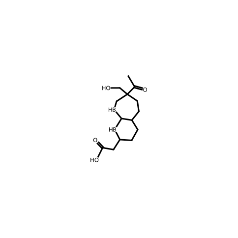 CC(=O)C1(CO)CBC2BC(CC(=O)O)CCC2CC1